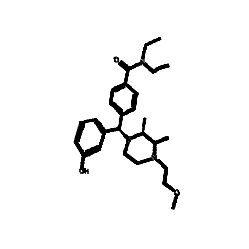 CCN(CC)C(=O)c1ccc([C@H](c2cccc(O)c2)N2CCN(CCOC)C(C)[C@@H]2C)cc1